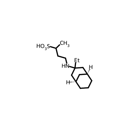 CCC1(NCCC(C)S(=O)(=O)O)C[C@@H]2CCC[C@@H](C2)C1